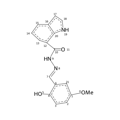 COc1ccc(O)c(/C=N/NC(=O)c2cccc3cc[nH]c23)c1